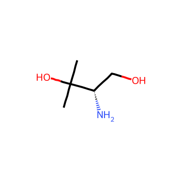 CC(C)(O)[C@@H](N)CO